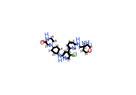 NC1(CNc2cccc(-c3cc(N[C@H]4CC[C@H](N5CCNC(=O)C5)CC4)ncc3Cl)n2)CCOCC1